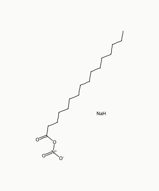 CCCCCCCCCCCCCCCC(=O)O[N+](=O)[O-].[NaH]